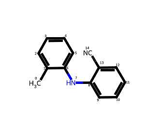 Cc1ccccc1Nc1ccccc1C#N